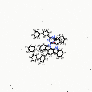 c1ccc(-c2cccc(-c3cccc(-c4cc5c6ccccc6n(-c6ccccc6)c5c5c4c4ccccc4n5-c4nc(-c5ccccc5)nc(-c5cccc(-c6ccccc6)c5)n4)c3)c2)cc1